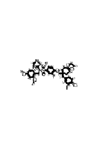 COc1ccc(CN(c2ncns2)S(=O)(=O)c2cc(F)c(OCC3(Cc4ccc(Cl)c(F)c4)CCC4(CC3)OCCO4)cc2F)c(OC)c1